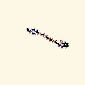 C#CCN1CCN(CCOCCOCCOCCOCCCCN2C(=O)c3ccccc3C2=O)CC1